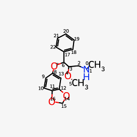 CNCC(OC)C(Oc1ccc2c(c1)OCO2)c1ccccc1